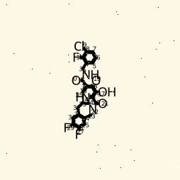 O=C(NCc1cccc(Cl)c1F)c1cn2c(c(O)c1=O)C(=O)N1Cc3cc(F)c(F)cc3C[C@H]2C1